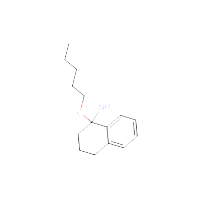 CCCCCOC1(N)CCCc2ccccc21